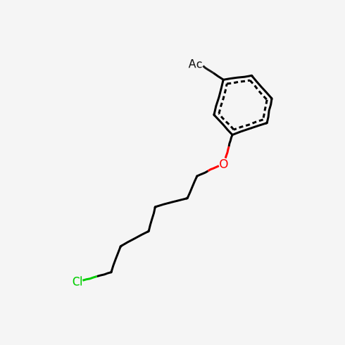 CC(=O)c1cccc(OCCCCCCCl)c1